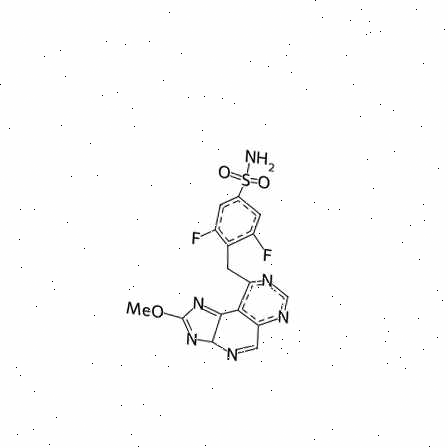 COC1=NC2N=Cc3ncnc(Cc4c(F)cc(S(N)(=O)=O)cc4F)c3C2=N1